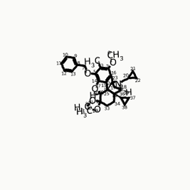 COc1c(C)c(OCc2ccccc2)c2c3c1C[C@H]1N(C4CC4)CC[C@@]34[C@@H](O2)C(OC)(OC)CC[C@@]14C1CC1